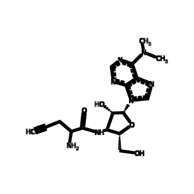 C#CCC(N)C(=O)NC1[C@@H](CO)O[C@@H](n2cnc3c(N(C)C)ncnc32)[C@H]1O